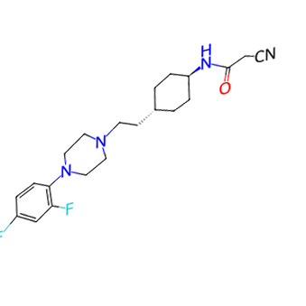 N#CCC(=O)N[C@H]1CC[C@H](CCN2CCN(c3ccc(F)cc3F)CC2)CC1